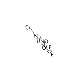 O=C(NCC1CCN(CCCCc2ccccc2)CC1)c1cc(-c2ccc(F)cc2F)on1